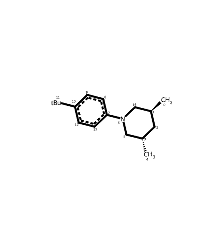 C[C@H]1C[C@H](C)CN(c2ccc(C(C)(C)C)cc2)C1